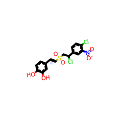 O=[N+]([O-])c1cc(C(Cl)CS(=O)(=O)/C=C/c2ccc(O)c(O)c2)ccc1Cl